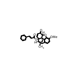 COc1ccc2c3c1O[C@H]1C(=O)C=C[C@@]4(OC(=O)/C=C/c5ccccc5)[C@@H](C2)N(C)CC[C@]314